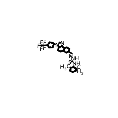 Cc1cccc(C)c1NC(=S)NN=Cc1ccc2c(ccc3c2ncn3-c2ccc(C(F)(F)C(F)(F)F)cc2)c1